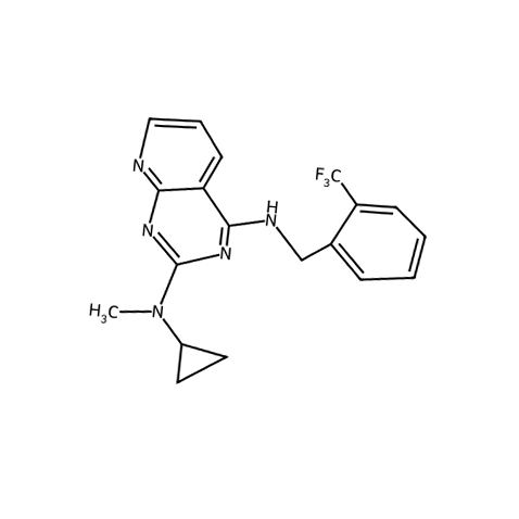 CN(c1nc(NCc2ccccc2C(F)(F)F)c2cccnc2n1)C1CC1